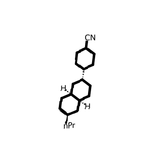 CCC[C@H]1CC[C@H]2C[C@H](C3CCC(C#N)CC3)CC[C@H]2C1